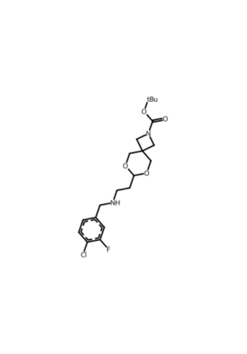 CC(C)(C)OC(=O)N1CC2(COC(CCNCc3ccc(Cl)c(F)c3)OC2)C1